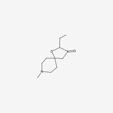 CCC1OC2(CCN(C)CC2)CC1=O